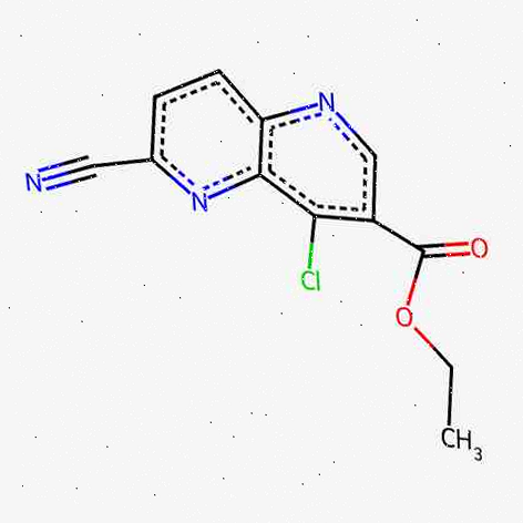 CCOC(=O)c1cnc2ccc(C#N)nc2c1Cl